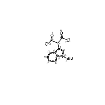 CCCCn1cc(C(C(=O)Cl)C(=O)Cl)c2ccccc21